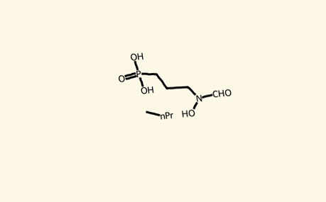 CCCC.O=CN(O)CCCP(=O)(O)O